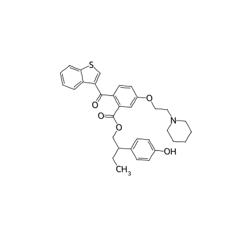 CCC(COC(=O)c1cc(OCCN2CCCCC2)ccc1C(=O)c1csc2ccccc12)c1ccc(O)cc1